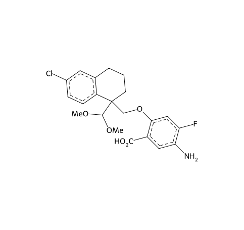 COC(OC)C1(COc2cc(F)c(N)cc2C(=O)O)CCCc2cc(Cl)ccc21